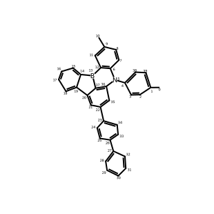 Cc1ccc(N2c3ccc(C)cc3B3c4ccccc4-c4cc(-c5ccc(-c6ccccc6)cc5)cc2c43)cc1